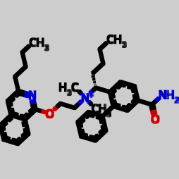 CCCCc1cc2ccccc2c(OCC[N+](C)(C)[C@H](CCCC)c2ccc(C(N)=O)cc2-c2ccccc2)n1